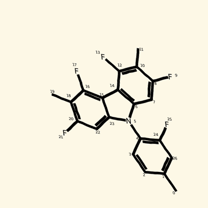 Cc1ccc(-n2c3cc(F)c(C)c(F)c3c3c(F)c(C)c(F)cc32)c(F)c1